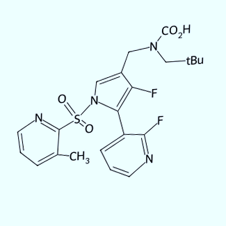 Cc1cccnc1S(=O)(=O)n1cc(CN(CC(C)(C)C)C(=O)O)c(F)c1-c1cccnc1F